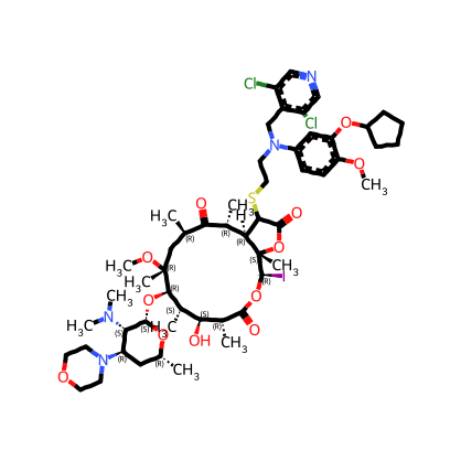 COc1ccc(N(CCSC2C(=O)O[C@@]3(C)[C@H]2[C@@H](C)C(=O)[C@H](C)C[C@@](C)(OC)[C@H](O[C@@H]2O[C@H](C)C[C@@H](N4CCOCC4)[C@@H]2N(C)C)[C@@H](C)[C@H](O)[C@@H](C)C(=O)O[C@@H]3I)Cc2c(Cl)cncc2Cl)cc1OC1CCCC1